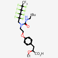 CCOC(Cc1ccc(OCCN(CC(F)(F)C(F)(F)C(F)(F)C(F)(F)C(F)(F)F)C(=O)NCC(C)(C)C)cc1)C(=O)O